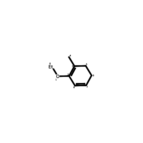 CCOC1=C(C)CCC=C1